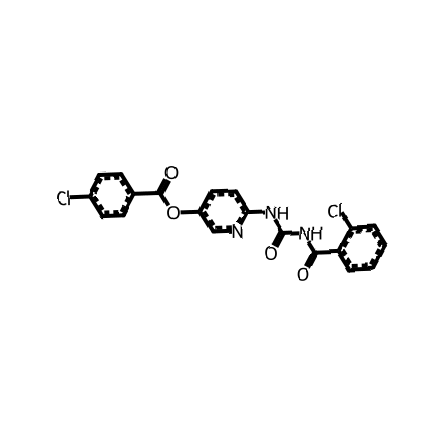 O=C(NC(=O)c1ccccc1Cl)Nc1ccc(OC(=O)c2ccc(Cl)cc2)cn1